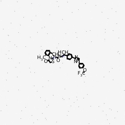 C/C(=C\NC(=O)/N=C1\SCC(=O)N1c1c(C)cccc1C)c1ccc(-c2ncn(-c3ccc(OC(F)(F)F)cc3)n2)cc1